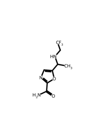 CC(NCC(F)(F)F)c1cnc(C(N)=O)o1